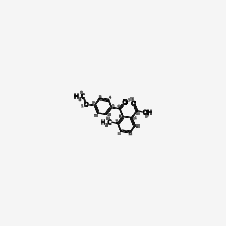 COc1ccc(C(=O)c2c(C)cccc2C(=O)O)cc1